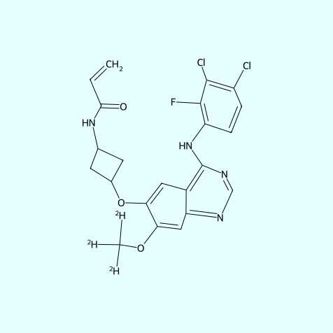 [2H]C([2H])([2H])Oc1cc2ncnc(Nc3ccc(Cl)c(Cl)c3F)c2cc1OC1CC(NC(=O)C=C)C1